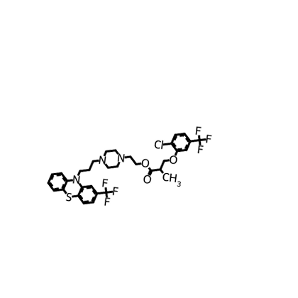 CC(COc1cc(C(F)(F)F)ccc1Cl)C(=O)OCCN1CCN(CCCN2c3ccccc3Sc3ccc(C(F)(F)F)cc32)CC1